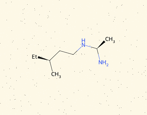 CC[C@H](C)CCN[C@@H](C)N